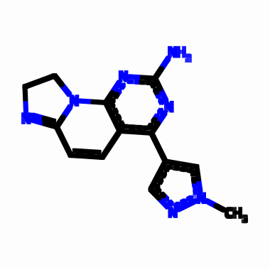 Cn1cc(-c2nc(N)nc3c2C=CC2=NCCN23)cn1